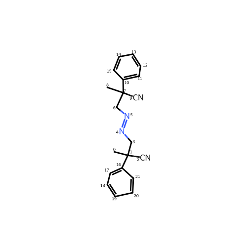 CC(C#N)(C/N=N/CC(C)(C#N)c1ccccc1)c1ccccc1